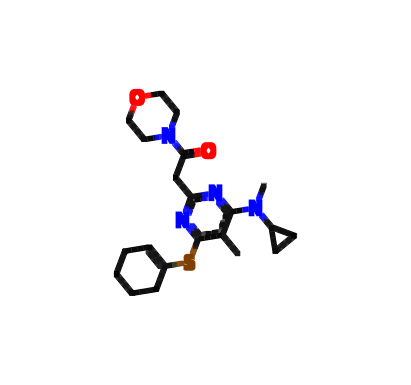 Cc1c(SC2=CCCCC2)nc(CC(=O)N2CCOCC2)nc1N(C)C1CC1